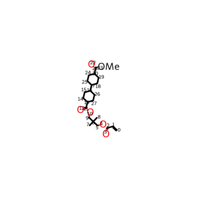 C=CC(=O)OCC(C)(C)COC(=O)C1CCC(C2CCC(C(=O)OC)CC2)CC1